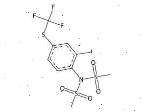 CS(=O)(=O)N(c1ccc(SC(F)(F)F)cc1I)S(C)(=O)=O